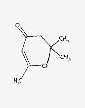 CC1=CC(=O)CC(C)(C)O1